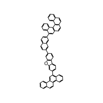 c1ccc2c(c1)ccc1c3ccccc3c(-c3ccc4c(c3)oc3cc(-c5ccc6ccc(-c7cc8ccc9ccc%10ccccc%10c9c8c8ccccc78)cc6c5)ccc34)cc21